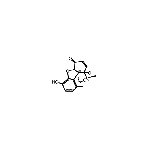 Cc1ccc(O)c2c1[C@]13CCC[C@H](C)C1(O)C=CC(=O)C3O2